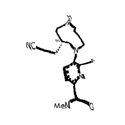 CNC(=O)c1ccc(N2CCNC[C@H]2CC#N)c(F)n1